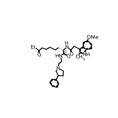 CCC(=O)CCCCC[C@H](NC(=O)Cc1c(C)[nH]c2ccc(OC)cc12)C(=O)NCCN1CCC(c2ccccc2)C1